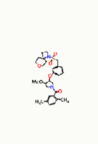 COC1CN(C(=O)c2cc(C)ccc2C)CC1Oc1cccc(CS(=O)(=O)N2CCC23CCOCC3)c1